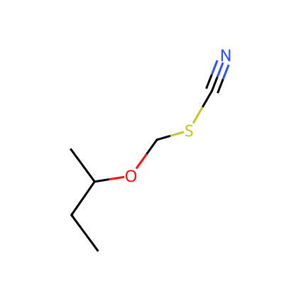 CCC(C)OCSC#N